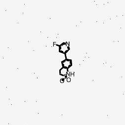 O=S1(=O)CCc2cc(-c3cncc(F)c3)ccc2N1